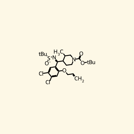 C=CCOc1cc(Cl)c(Cl)cc1C(=N[S@@+]([O-])C(C)(C)C)C1CCN(C(=O)OC(C)(C)C)CC1C